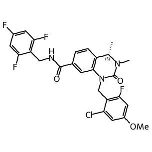 COc1cc(F)c(CN2C(=O)N(C)[C@@H](C)c3ccc(C(=O)NCc4c(F)cc(F)cc4F)cc32)c(Cl)c1